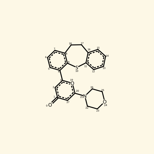 O=c1cc(-c2cccc3c2Sc2ccccc2CC3)oc(N2CCOCC2)c1